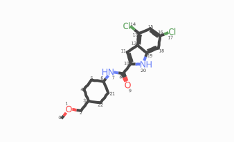 COCC1CCC(NC(=O)c2cc3c(Cl)cc(Cl)cc3[nH]2)CC1